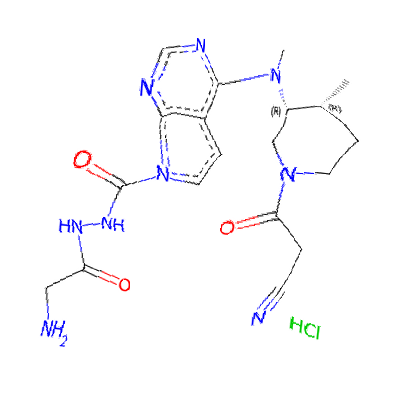 C[C@@H]1CCN(C(=O)CC#N)C[C@@H]1N(C)c1ncnc2c1ccn2C(=O)NNC(=O)CN.Cl